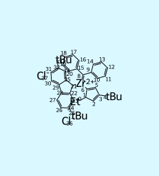 CCC1C=C(C(C)(C)C)C=[C]1[Zr+2](=[C](c1ccccc1)c1ccccc1)[CH]1c2cc(C(C)(C)C)ccc2-c2ccc(C(C)(C)C)cc21.[Cl-].[Cl-]